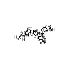 CC(=O)Nc1nc2c(Oc3cc(-c4ccc(C(F)(F)F)nc4NCC4CN(C(=O)O)CCO4)ncn3)cccc2s1